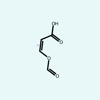 O=CO/C=C\C(=O)O